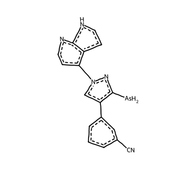 N#Cc1cccc(-c2cn(-c3ccnc4[nH]ccc34)nc2[AsH2])c1